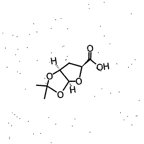 CC1(C)O[C@@H]2O[C@H](C(=O)O)C[C@@H]2O1